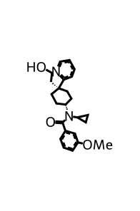 COc1cccc(C(=O)N(C2CC2)[C@H]2CC[C@](CCO)(c3ccccn3)CC2)c1